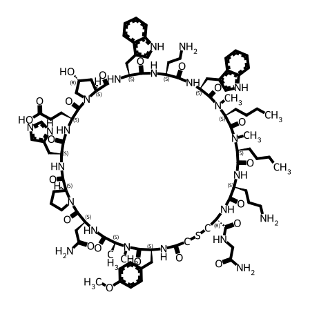 CCCC[C@H]1C(=O)N(C)[C@@H](CCCC)C(=O)N[C@@H](CCCN)C(=O)N[C@H](C(=O)NCC(N)=O)CSCC(=O)N[C@@H](Cc2ccc(OC)cc2)C(=O)N(C)[C@@H](C)C(=O)N[C@@H](CC(N)=O)C(=O)N2CCC[C@H]2C(=O)N[C@@H](Cc2cnc[nH]2)C(=O)N[C@@H](CCC(=O)O)C(=O)N2C[C@H](O)C[C@H]2C(=O)N[C@@H](Cc2c[nH]c3ccccc23)C(=O)N[C@@H](CCN)C(=O)N[C@@H](Cc2c[nH]c3ccccc23)C(=O)N1C